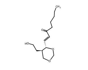 CCCCCC(=O)C=C[C@@H]1OCOC[C@H]1CCO